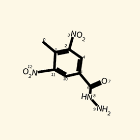 Cc1c([N+](=O)[O-])cc(C(=O)NN)cc1[N+](=O)[O-]